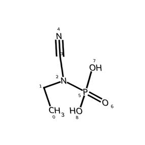 CCN(C#N)P(=O)(O)O